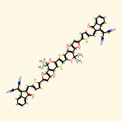 CC1(C)Oc2c(sc3c4c(sc23)-c2oc3cc(-c5ccc(/C=C6\C(=O)c7ccccc7C6=C(C#N)C#N)s5)oc3c2C(C)(C)O4)-c2oc3cc(-c4ccc(/C=C5\C(=O)c6ccccc6C5=C(C#N)C#N)s4)oc3c21